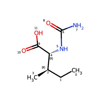 CC[C@@H](C)[C@@H](NC(N)=O)C(=O)O